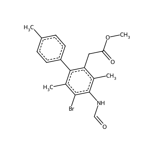 COC(=O)Cc1c(C)c(NC=O)c(Br)c(C)c1-c1ccc(C)cc1